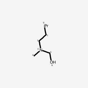 CC(C)CCN(C)CO